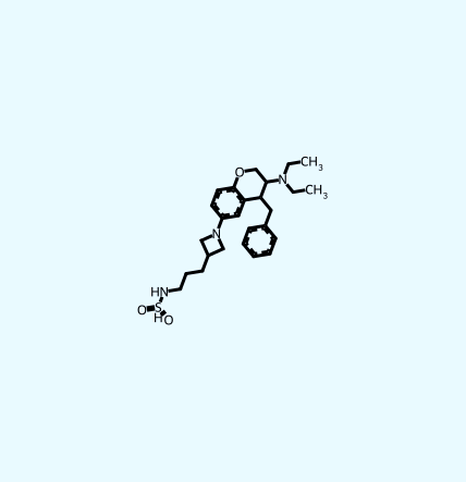 CCN(CC)C1COc2ccc(N3CC(CCCN[SH](=O)=O)C3)cc2C1Cc1ccccc1